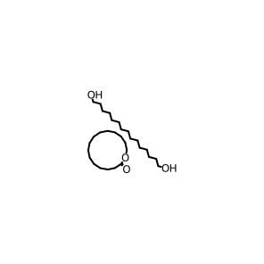 O=C1CCCCCCCCCCCCCCO1.OCCCCCCCCCCCCCCCO